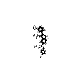 CN(Cc1ccc(F)cc1)c1ccc2c(c1)C(N)C(c1cccc(Cl)c1)C2